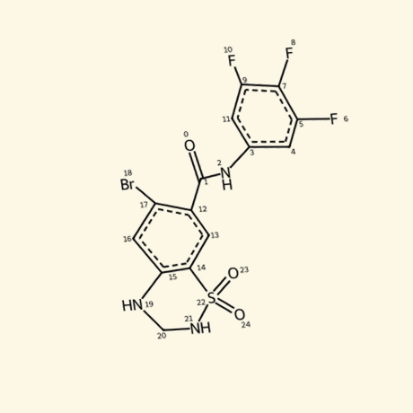 O=C(Nc1cc(F)c(F)c(F)c1)c1cc2c(cc1Br)NCNS2(=O)=O